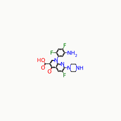 Nc1cc(-n2cc(C(=O)O)c(=O)c3cc(F)c(N4CCNCC4)nc32)c(F)cc1F